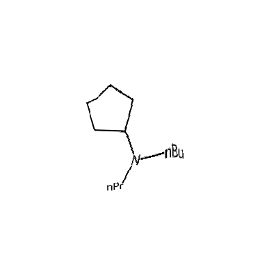 [CH2]CCN(CCCC)C1CCCC1